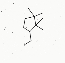 CC1(C)CCC(CI)C1(C)C